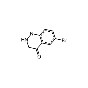 O=C1CN[N]c2ccc(Br)cc21